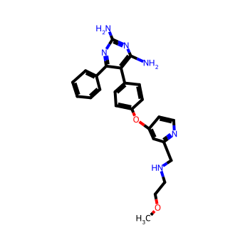 COCCNCc1cc(Oc2ccc(-c3c(N)nc(N)nc3-c3ccccc3)cc2)ccn1